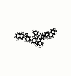 c1ccc(C2=NC(c3cccc4oc5cc(-c6ccc7c(c6)sc6cc8ccccc8cc67)ccc5c34)NC(c3ccc4c(ccc5ccccc54)c3)=N2)cc1